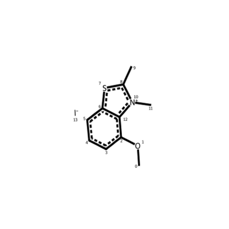 COc1cccc2sc(C)[n+](C)c12.[I-]